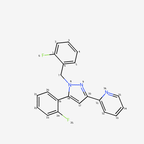 Fc1ccccc1Cn1nc(-c2ccccn2)cc1-c1ccccc1F